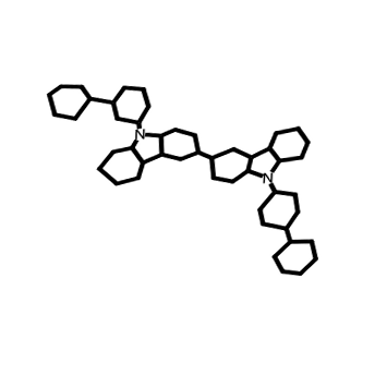 C1CCC(C2CCC(N3C4CCCCC4C4CC(C5CCC6C(C5)C5CCCCC5N6C5CCCC(C6CCCCC6)C5)CCC43)CC2)CC1